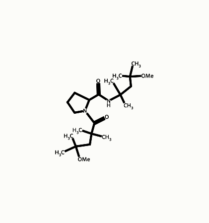 COC(C)(C)CC(C)(C)NC(=O)C1CCCN1C(=O)C(C)(C)CC(C)(C)OC